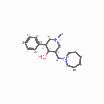 CN1CC(CN2CCCCCC2)C(O)C(c2ccccc2)C1